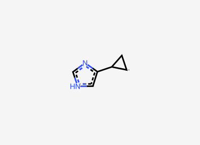 [CH]1CC1c1c[nH]cn1